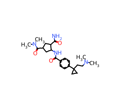 CN(C)CCC1(c2ccc(C(=O)NC3CC(C(=O)N(C)C)CC3C(N)=O)cc2)CC1